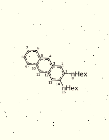 CCCCCCc1[c]c2cc3ccccc3cc2cc1CCCCCC